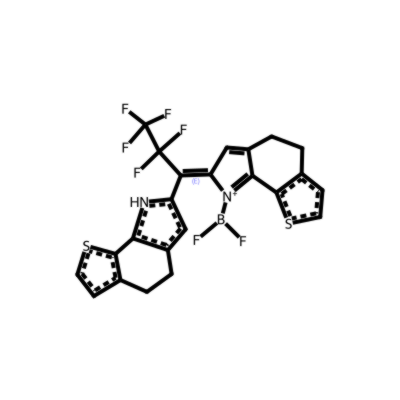 FB(F)[N+]1=C2C(=C/C1=C(/c1cc3c([nH]1)-c1sccc1CC3)C(F)(F)C(F)(F)F)CCc1ccsc12